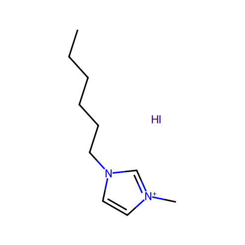 CCCCCCn1cc[n+](C)c1.I